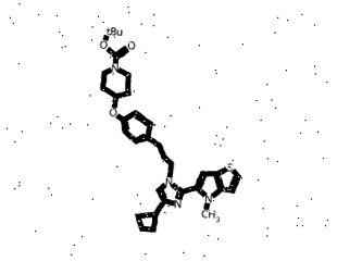 Cn1c(-c2nc(C3CCC3)cn2CCCc2ccc(OC3CCN(C(=O)OC(C)(C)C)CC3)cc2)cc2sccc21